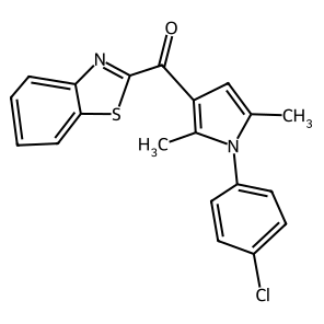 Cc1cc(C(=O)c2nc3ccccc3s2)c(C)n1-c1ccc(Cl)cc1